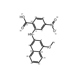 COc1cc(Nc2cc([N+](=O)[O-])ccc2C(=O)O)cc2ccccc12